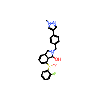 Cn1cc(-c2ccc(CN3CC4C=CC=C([S+]([O-])c5ccccc5F)C4C3O)cc2)cn1